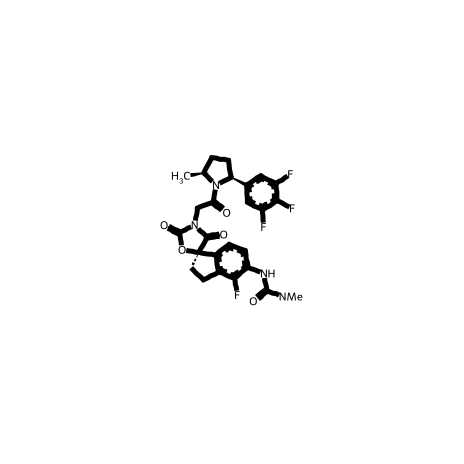 CNC(=O)Nc1ccc2c(c1F)CC[C@@]21OC(=O)N(CC(=O)N2[C@@H](C)CC[C@H]2c2cc(F)c(F)c(F)c2)C1=O